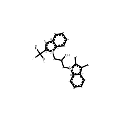 Cc1c(C)n(CC(O)Cn2c(C(F)(F)F)nc3ccccc32)c2ccccc12